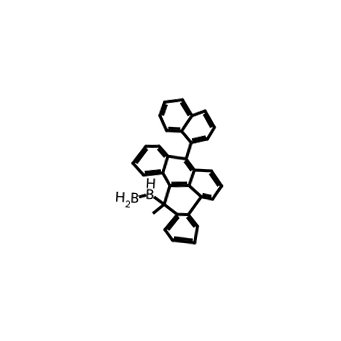 BBC1(C)c2ccccc2-c2cccc3c(-c4cccc5ccccc45)c4ccccc4c1c23